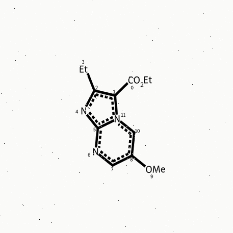 CCOC(=O)c1c(CC)nc2ncc(OC)cn12